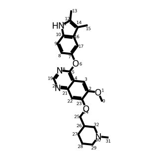 COc1cc2c(Oc3ccc4[nH]c(C)c(C)c4c3)ncnc2cc1OCC1CCCN(C)C1